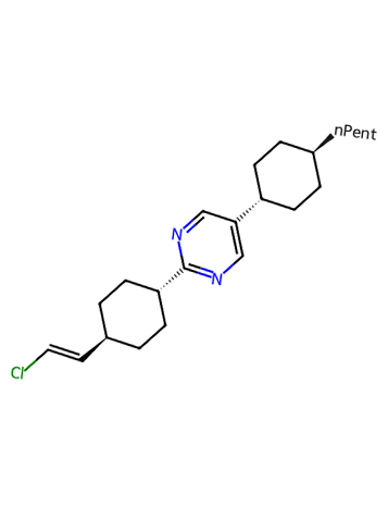 CCCCC[C@H]1CC[C@H](c2cnc([C@H]3CC[C@H](/C=C/Cl)CC3)nc2)CC1